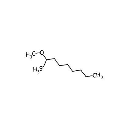 CCCCCCCC([SiH3])OC